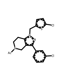 CC(=O)N1CCc2c(c(-c3cccc(Cl)c3)nn2Cc2ccc(Cl)s2)C1